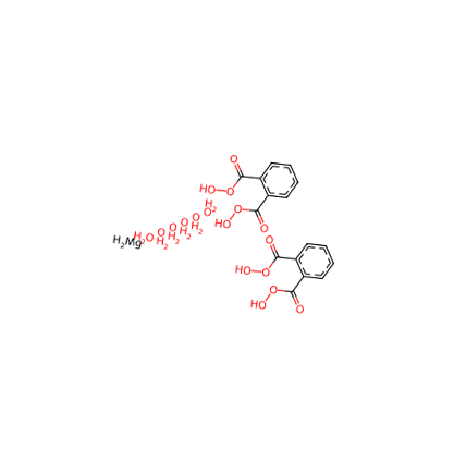 O.O.O.O.O.O.O=C(OO)c1ccccc1C(=O)OO.O=C(OO)c1ccccc1C(=O)OO.[MgH2]